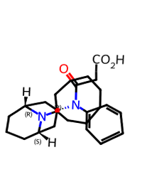 O=C(O)CC(=O)N(c1ccccc1)[C@H]1C[C@H]2CCC[C@@H](C1)N2C1CCCCCCC1